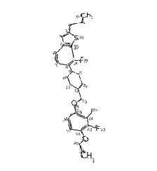 CCCc1cc2ccc(C3CCC(COc4ccc(OCC)c(F)c4F)CC3)c(F)c2s1